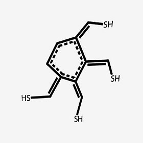 SC=c1ccc(=CS)c(=CS)c1=CS